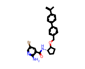 C=C(C)c1ccc(-c2ccc(COC3CCC[C@@H]3NC(=O)c3cc(Br)cnc3N)cc2)cc1